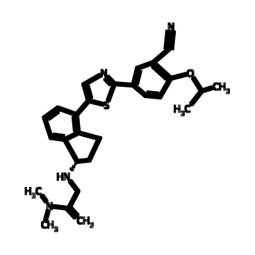 C=C(CN[C@H]1CCc2c(-c3cnc(-c4ccc(OC(C)C)c(C#N)c4)s3)cccc21)N(C)C